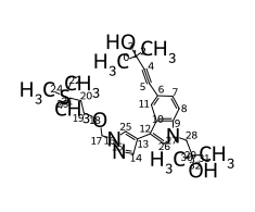 CC(C)(O)C#Cc1ccc2c(c1)c(-c1cnn(COCCS(C)(C)C)c1)cn2CC(C)(C)O